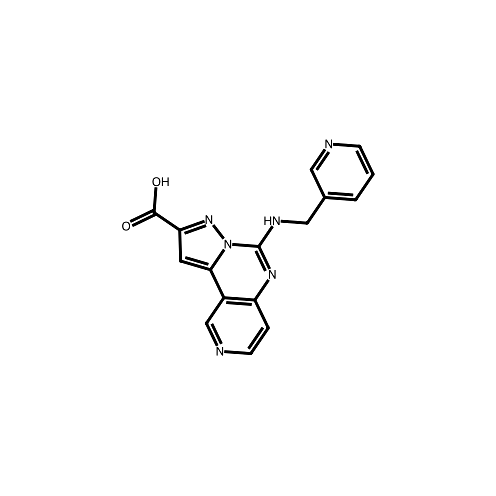 O=C(O)c1cc2c3cnccc3nc(NCc3cccnc3)n2n1